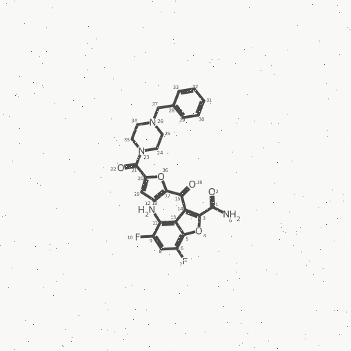 NC(=O)c1oc2c(F)cc(F)c(N)c2c1C(=O)c1ccc(C(=O)N2CCN(Cc3ccccc3)CC2)o1